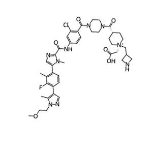 COCCn1ncc(-c2ccc(-c3cnc(C(=O)Nc4ccc(C(=O)N5CCN(C(=O)[C@H]6CC[N@+](CC(=O)O)(CC7CNC7)CC6)CC5)c(Cl)c4)n3C)c(C)c2F)c1C